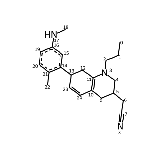 CCCN1CC(CC#N)CC2=C1CC(c1cc(NC)ccc1C)C=C2